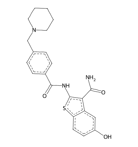 NC(=O)c1c(NC(=O)c2ccc(CN3CCCCC3)cc2)sc2ccc(O)cc12